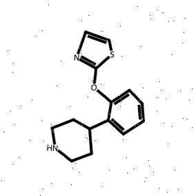 c1ccc(C2CCNCC2)c(Oc2nccs2)c1